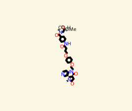 COC(=O)CN(CC(=O)O)C(=O)C1CCC(NC(=O)CCCOC2CCC(OCCNC(=O)[C@H]3CC(=O)N(C)[C@@H]3c3cccnc3)CC2)CC1